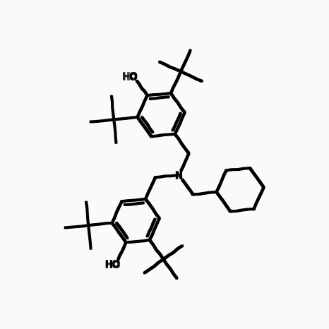 CC(C)(C)c1cc(CN(Cc2cc(C(C)(C)C)c(O)c(C(C)(C)C)c2)CC2CCCCC2)cc(C(C)(C)C)c1O